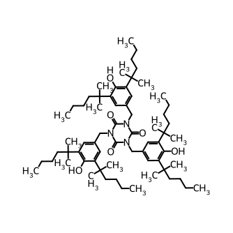 CCCCC(C)(C)c1cc(Cn2c(=O)n(Cc3cc(C(C)(C)CCCC)c(O)c(C(C)(C)CCCC)c3)c(=O)n(Cc3cc(C(C)(C)CCCC)c(O)c(C(C)(C)CCCC)c3)c2=O)cc(C(C)(C)CCCC)c1O